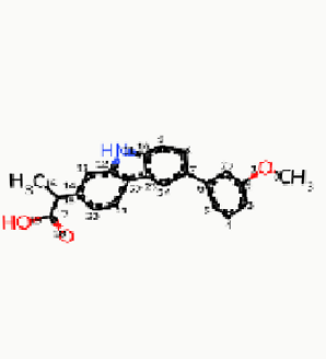 COc1cccc(-c2ccc3[nH]c4cc(C(C)C(=O)O)ccc4c3c2)c1